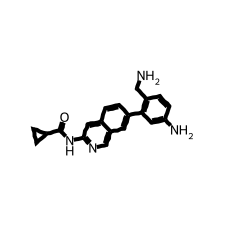 NCc1ccc(N)cc1-c1ccc2cc(NC(=O)C3CC3)ncc2c1